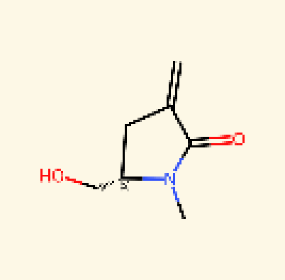 C=C1C[C@@H](CO)N(C)C1=O